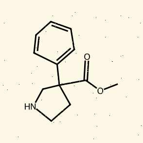 COC(=O)C1(c2ccccc2)CCNC1